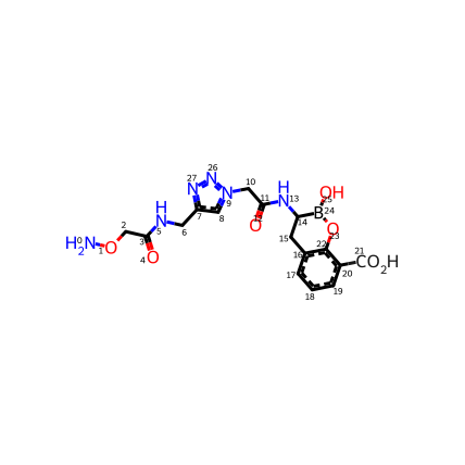 NOCC(=O)NCc1cn(CC(=O)NC2Cc3cccc(C(=O)O)c3OB2O)nn1